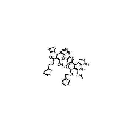 CC1=C(C(=O)OCc2ccccc2)C(c2cccs2)c2cn[nH]c2N1.CC1=C(C(=O)OCc2ccccc2)C(c2nccs2)c2cn[nH]c2N1